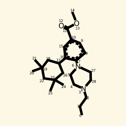 CCCN1CCN(c2ccc(C(=O)OC)cc2C2CC(C)(C)CC(C)(C)C2)CC1